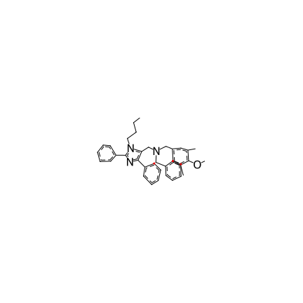 CCCCn1c(-c2ccccc2)nc(-c2ccccc2)c1CN(Cc1ccccc1)Cc1cc(C)c(OC)c(C)c1